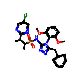 COc1cccc(OC)c1-n1c(Cc2ccccc2)nnc1NS(=O)(=O)C(C)C(C)c1ncc(Cl)cn1